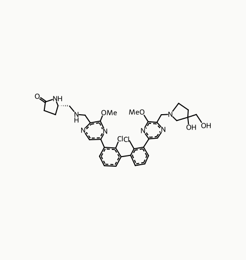 COc1nc(-c2cccc(-c3cccc(-c4cnc(CN5CCC(O)(CO)C5)c(OC)n4)c3Cl)c2Cl)cnc1CNC[C@@H]1CCC(=O)N1